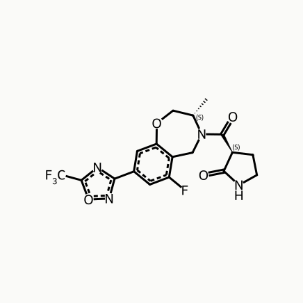 C[C@H]1COc2cc(-c3noc(C(F)(F)F)n3)cc(F)c2CN1C(=O)[C@H]1CCNC1=O